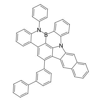 c1ccc(-c2cccc(-c3cc4c5c6c3c3cc7ccccc7cc3n6-c3ccccc3B5N(c3ccccc3)c3ccccc3-4)c2)cc1